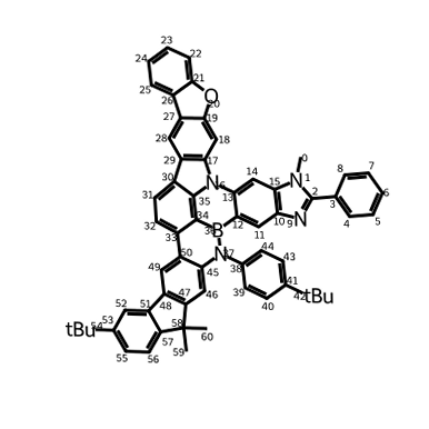 Cn1c(-c2ccccc2)nc2cc3c(cc21)-n1c2cc4oc5ccccc5c4cc2c2ccc4c(c21)B3N(c1ccc(C(C)(C)C)cc1)c1cc2c(cc1-4)-c1cc(C(C)(C)C)ccc1C2(C)C